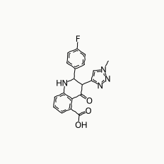 Cn1cc(C2C(=O)c3c(cccc3C(=O)O)NC2c2ccc(F)cc2)nn1